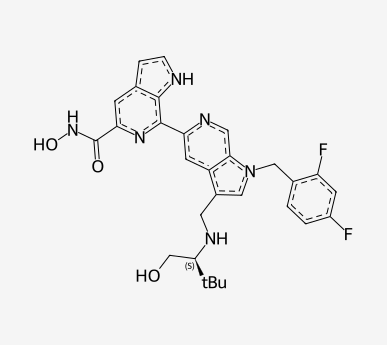 CC(C)(C)[C@@H](CO)NCc1cn(Cc2ccc(F)cc2F)c2cnc(-c3nc(C(=O)NO)cc4cc[nH]c34)cc12